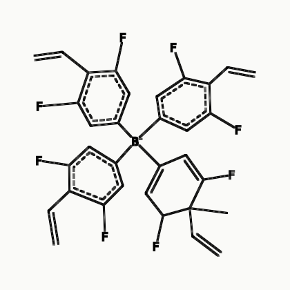 C=Cc1c(F)cc([B-](C2=CC(F)C(C)(C=C)C(F)=C2)(c2cc(F)c(C=C)c(F)c2)c2cc(F)c(C=C)c(F)c2)cc1F